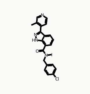 Cc1cnccc1-c1n[nH]c2c(C(=O)N(I)Cc3ccc(Cl)cc3)cccc12